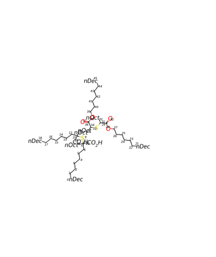 CCCCCCCCCCCCCCCCC(CCCCCCCC)(SC(CCCCCCCC)(CCCCCCCCCCCCCCCC)C(=O)O)C(=O)O.CCCCCCCCCCCCCCCCOC(=O)C(CCCCCCCC)SC(CCCCCCCC)C(=O)OCCCCCCCCCCCCCCCC